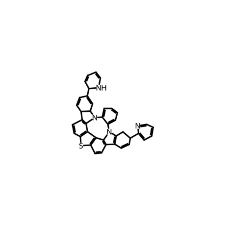 C1=CNC(C2=CC3C(C=C2)c2ccc4sc5ccc6c7c(n8c9ccccc9n3c2c4c5c68)CC(c2ccccn2)C=C7)C=C1